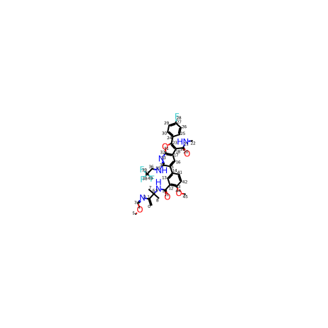 C=C(/N=C\OC)C(C)(C)NC(=O)c1cc(-c2cc3c(C(=O)NC)c(-c4ccc(F)cc4)oc3nc2NCC(F)(F)F)ccc1OC